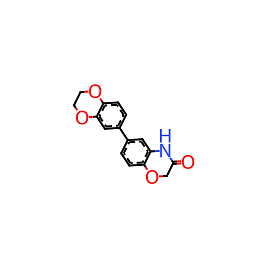 O=C1COc2ccc(-c3ccc4c(c3)OCCO4)cc2N1